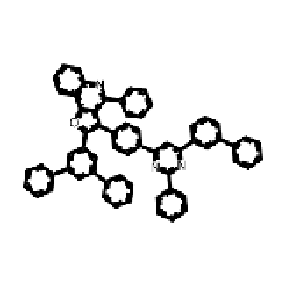 c1ccc(-c2cccc(-c3cc(-c4ccc(-c5c(-c6cc(-c7ccccc7)cc(-c7ccccc7)c6)oc6c5c(-c5ccccc5)nc5ccccc56)cc4)nc(-c4ccccc4)n3)c2)cc1